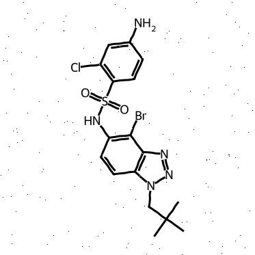 CC(C)(C)Cn1nnc2c(Br)c(NS(=O)(=O)c3ccc(N)cc3Cl)ccc21